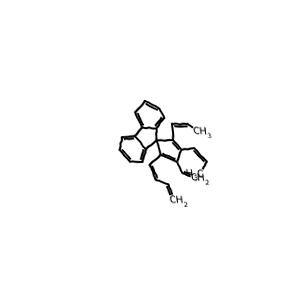 C=C/C=C\C1=C(C=C)C(/C=C\C)=C(/C=C\C)C12c1ccccc1-c1ccccc12